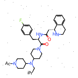 CC(=O)N1CCC(N(CC(C)C)C2CCN(C(=O)[C@@H](Cc3ccc(F)cc3)NC(=O)C[C@H]3NCCc4ccccc43)CC2)CC1